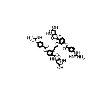 N=C(N)Nc1ccc(C(=O)Oc2ccc(C(=O)NC(CC(=O)O)C(=O)O)c(OCCOc3cc(OC(=O)c4ccc(NC(=N)N)cc4)ccc3C(=O)NC(CC(=O)O)C(=O)O)c2)cc1